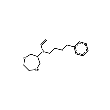 C=CN(CCOCc1ccccc1)C1CNCCNC1